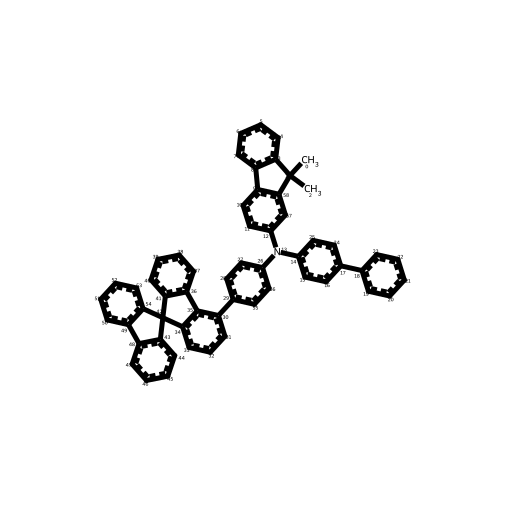 CC1(C)c2ccccc2-c2ccc(N(c3ccc(-c4ccccc4)cc3)c3ccc(-c4cccc5c4-c4ccccc4C54c5ccccc5-c5ccccc54)cc3)cc21